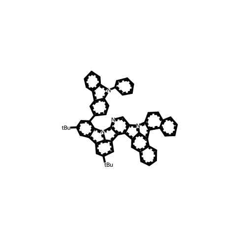 CC(C)(C)c1cc(-c2ccc3c(c2)c2ccccc2n3-c2ccccc2)c2c(c1)c1cc(C(C)(C)C)cc3c4c5c6cc7ccccc7c7c8c9ccccc9ccc8n(c5cnc4n2c13)c67